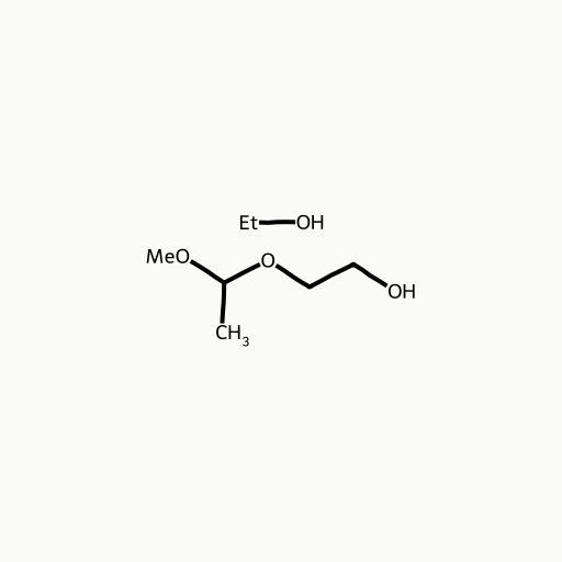 CCO.COC(C)OCCO